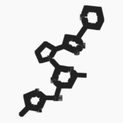 Cc1cc(Nc2nc(C)cs2)nc(N2CCCC2c2cc(-c3ccccn3)no2)n1